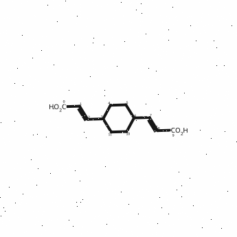 O=C(O)C=CC1CCC(C=CC(=O)O)CC1